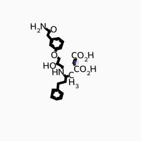 CC(CCc1ccccc1)NCC(O)COc1cccc(CC(N)=O)c1.O=C(O)/C=C/C(=O)O